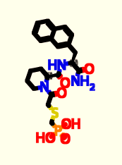 NC(=O)[C@H](Cc1ccc2ccccc2c1)NC(=O)[C@@H]1CCCCN1C(=O)CSCP(=O)(O)O